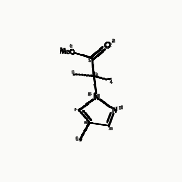 COC(=O)C(C)(C)n1cc(C)cn1